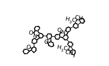 CC1(C)c2ccccc2-c2ccc(-c3ccc4c(c3)c3cc(-c5ccc6c(c5)C(C)(C)c5ccccc5-6)cc5c6ccc(-c7ccc(-c8cc9c%10ccccc%10c(=O)n%10c%11ccc(-c%12cccc%13c%12oc%12ccccc%12%13)cc%11c(c8)c9%10)c8oc9ccccc9c78)cc6c(=O)n4c53)cc21